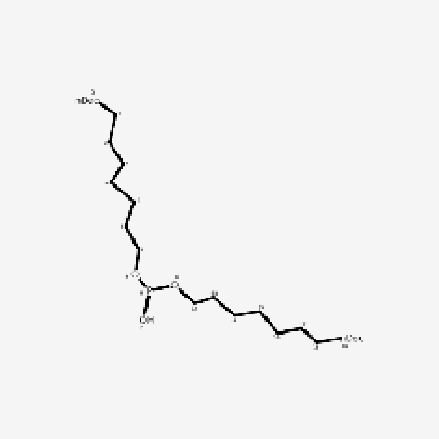 CCCCCCCCCCCCCCCCCOP(O)OCCCCCCCCCCCCCCCCC